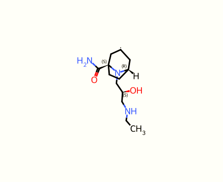 CCNC[C@H](O)CN1[C@@H]2C[CH]C[C@@]1(C(N)=O)CC2